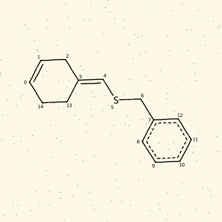 C1=CCC(=CSCc2ccccc2)CC1